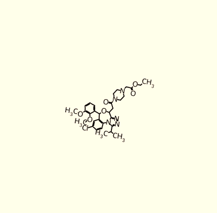 CCOC(=O)CN1CCN(C(=O)CC2OC(c3cccc(OC)c3OC)c3cc(Cl)ccc3-n3c(C(C)C)nnc32)CC1